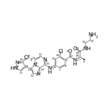 C[C@@H](NC(=O)c1ccc(Nc2nccn3c(-c4c[nH]nc4C(F)(F)F)cnc23)cc1Cl)C(=O)NCCN